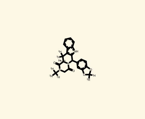 [2H]C1([2H])Oc2ccc(C3c4[nH]c5ccccc5c4C([2H])([2H])[C@@H]4C(=O)N(C([2H])([2H])[2H])CC(=O)N34)cc2O1